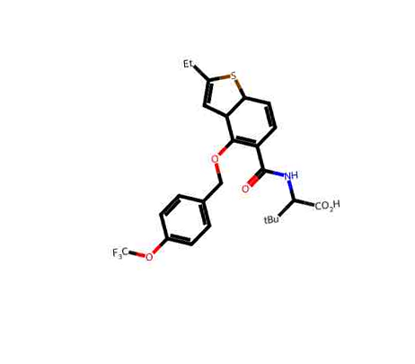 CCC1=CC2C(OCc3ccc(OC(F)(F)F)cc3)=C(C(=O)NC(C(=O)O)C(C)(C)C)C=CC2S1